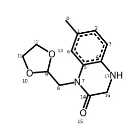 Cc1ccc2c(c1)N(CC1OCCO1)C(=O)CN2